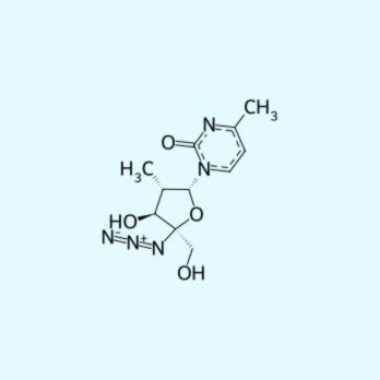 Cc1ccn([C@@H]2O[C@@](CO)(N=[N+]=[N-])[C@@H](O)[C@@H]2C)c(=O)n1